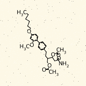 CCCCCCOc1ccc(-c2ccc(CCC(COC(C)=O)C(CC(N)=O)OC(C)=O)cc2)c(OC)c1